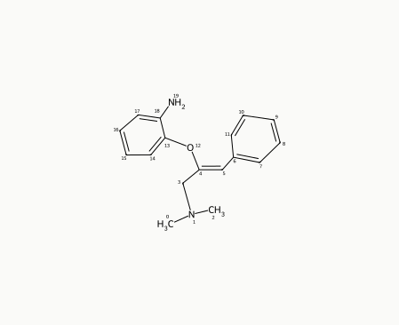 CN(C)CC(=Cc1ccccc1)Oc1ccccc1N